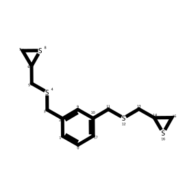 c1cc(CSCC2CS2)cc(CSCC2CS2)c1